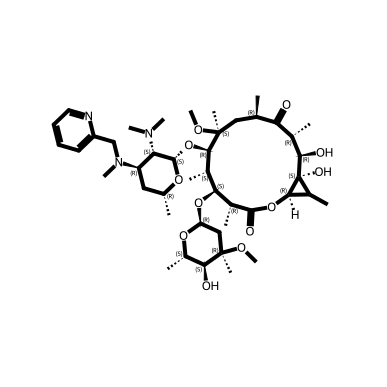 CO[C@]1(C)C[C@H](O[C@H]2[C@H](C)[C@@H](O[C@@H]3O[C@H](C)C[C@@H](N(C)Cc4ccccn4)[C@@H]3N(C)C)[C@@](C)(OC)C[C@@H](C)C(=O)[C@H](C)[C@@H](O)[C@@]3(O)C(C)[C@H]3OC(=O)[C@@H]2C)O[C@@H](C)[C@@H]1O